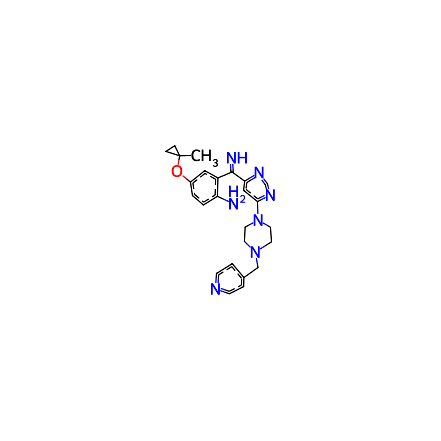 CC1(Oc2ccc(N)c(C(=N)c3cc(N4CCN(Cc5ccncc5)CC4)ncn3)c2)CC1